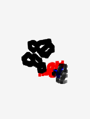 CCN(CC)OP(O)O.c1ccc2c(c1)ccc1ccccc12.c1ccc2c(c1)ccc1ccccc12